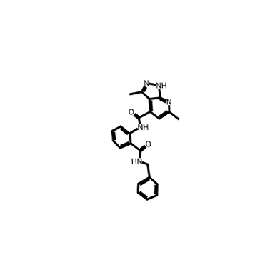 Cc1cc(C(=O)Nc2ccccc2C(=O)NCc2ccccc2)c2c(C)n[nH]c2n1